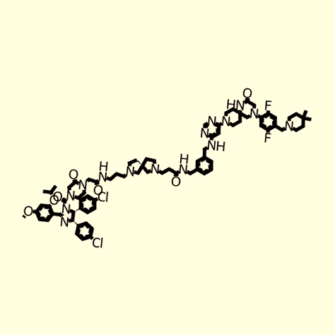 COc1ccc(C2=N[C@@H](c3ccc(Cl)cc3)[C@@H](c3ccc(Cl)cc3)N2C(=O)N2CCN(CC(=O)NCCCN3CC[C@@]4(CCN(CCC(=O)NCc5cccc(CNc6cc(N7CCC8(CC7)CN(c7cc(F)c(CN9CCC(C)(C)CC9)cc7F)CC(=O)N8)ncn6)c5)C4)C3)C(=O)C2)c(OC(C)C)c1